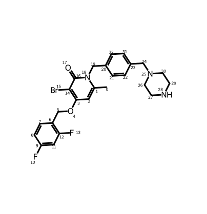 Cc1cc(OCc2ccc(F)cc2F)c(Br)c(=O)n1Cc1ccc(CN2CCNCC2)cc1